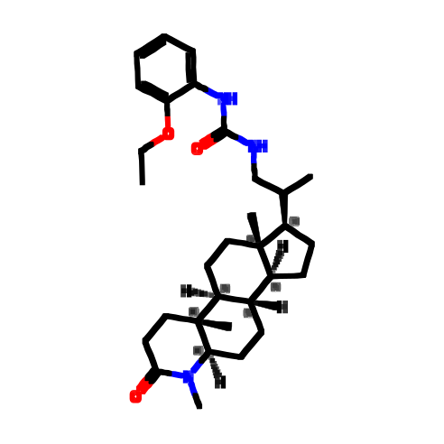 CCOc1ccccc1NC(=O)NCC(C)[C@H]1CC[C@H]2[C@@H]3CC[C@H]4N(C)C(=O)CC[C@]4(C)[C@H]3CC[C@]12C